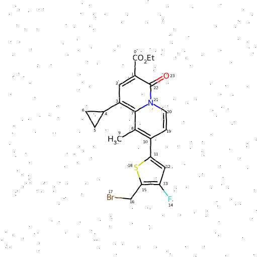 CCOC(=O)c1cc(C2CC2)c2c(C)c(-c3cc(F)c(CBr)s3)ccn2c1=O